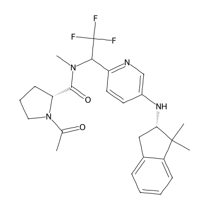 CC(=O)N1CCC[C@@H]1C(=O)N(C)C(c1ccc(N[C@H]2Cc3ccccc3C2(C)C)cn1)C(F)(F)F